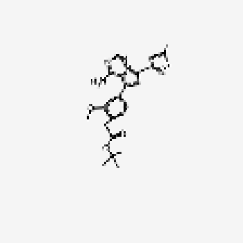 COc1cc(-c2cc(-c3cc(C)sn3)n3ncnc(N)c23)ccc1CC(=O)OC(C)(C)C